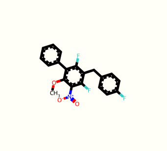 COc1c(-c2ccccc2)c(F)c(Cc2ccc(F)cc2)c(F)c1[N+](=O)[O-]